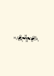 C=C(C)C(=O)OCCNNCCOC(=O)C(=C)C